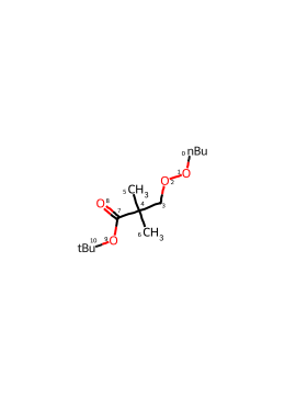 CCCCOOCC(C)(C)C(=O)OC(C)(C)C